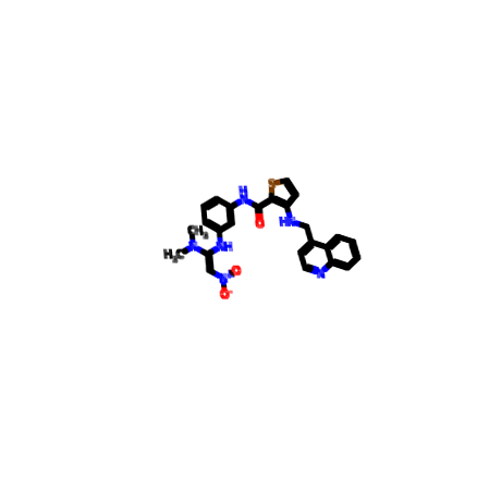 CN(C)/C(=C/[N+](=O)[O-])Nc1cccc(NC(=O)c2sccc2NCc2ccnc3ccccc23)c1